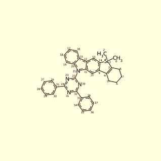 C[Si]1(C)C2=C(CCCC2)c2cc3c(cc21)c1ccccc1n3-c1nc(-c2ccccc2)nc(-c2ccccc2)n1